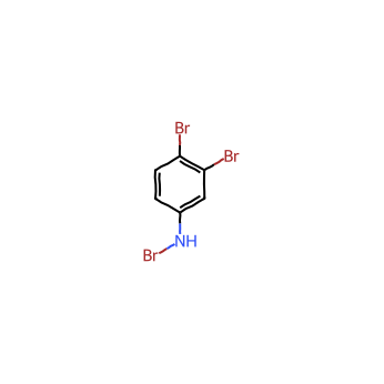 BrNc1ccc(Br)c(Br)c1